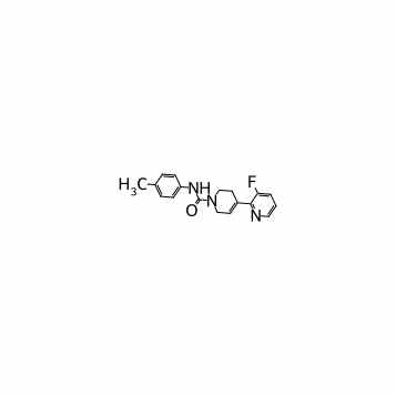 Cc1ccc(NC(=O)N2CC=C(c3ncccc3F)CC2)cc1